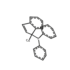 [Co][C]1(P(c2ccccc2)c2ccccc2)C=Cc2ccccc21